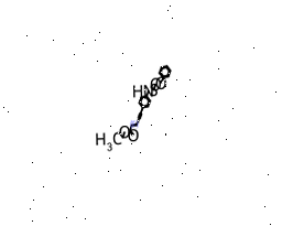 CCOC(=O)/C=C/C#Cc1ccc(NSOOc2ccccc2)cc1